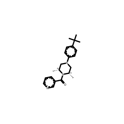 C[C@@H]1CN(c2ccc(C(C)(C)C)cc2)C[C@H](C)N1C(=O)c1cccnc1